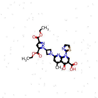 CCOC(=O)c1cc(C(=O)OCC)n(C2CN(c3cc(C)c4c(=O)c(C(=O)O)cn(-c5nccs5)c4n3)C2)n1